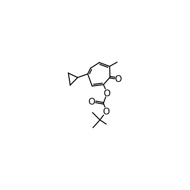 Cc1ccc(C2CC2)cc(OC(=O)OC(C)(C)C)c1=O